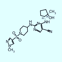 Cn1cc(S(=O)(=O)N2CCC(Nc3ncc(C#N)c(N[C@@H]4CCC[C@@]4(C)O)n3)CC2)cn1